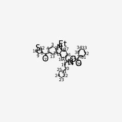 CCn1c2ccc(C(=O)c3ccsc3)cc2c2cc(/C(CCC3CCCC3)=N\OC(=O)c3ccccc3)ccc21